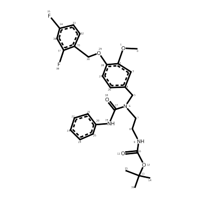 COc1cc(CN(CCNC(=O)OC(C)(C)C)C(=O)Nc2ccccc2)ccc1OCc1ccc(F)cc1F